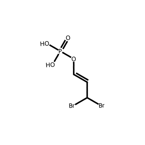 O=P(O)(O)OC=CC(Br)Br